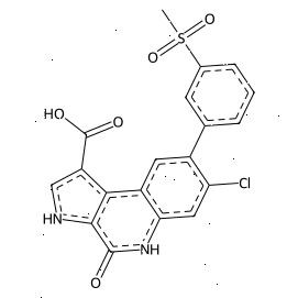 CS(=O)(=O)c1cccc(-c2cc3c(cc2Cl)[nH]c(=O)c2[nH]cc(C(=O)O)c23)c1